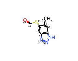 Cc1cc2[nH]nnc2[c]c1SC=O